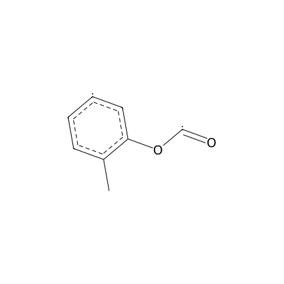 Cc1cc[c]cc1O[C]=O